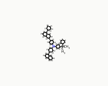 CC1(C)c2ccccc2-c2cc(N(c3ccc(-c4ccc5c(-c6ccccc6)cccc5c4)cc3)c3ccc(-c4cccc5ccccc45)cc3)ccc21